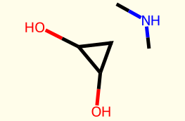 CNC.OC1CC1O